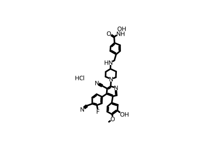 COc1ccc(-c2cnc(N3CCC(NCc4ccc(C(=O)NO)cc4)CC3)c(C#N)c2-c2ccc(C#N)c(F)c2)cc1O.Cl